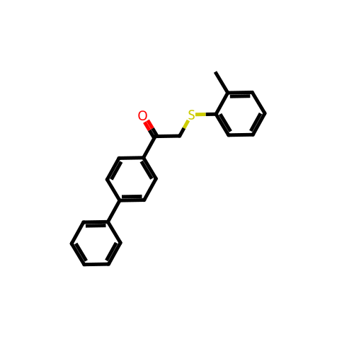 Cc1ccccc1SCC(=O)c1ccc(-c2ccccc2)cc1